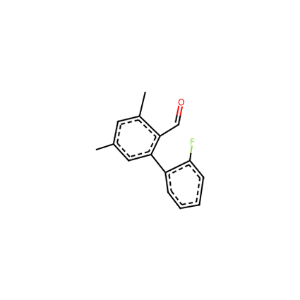 Cc1cc(C)c(C=O)c(-c2ccccc2F)c1